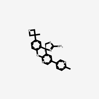 Cc1ccc(-c2cnc3c(c2)[C@]2(CSC(N)=N2)c2cc(C4(C)COC4)ccc2O3)cn1